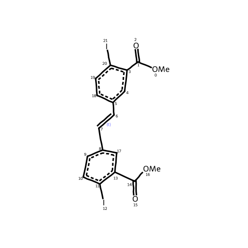 COC(=O)c1cc(/C=C/c2ccc(I)c(C(=O)OC)c2)ccc1I